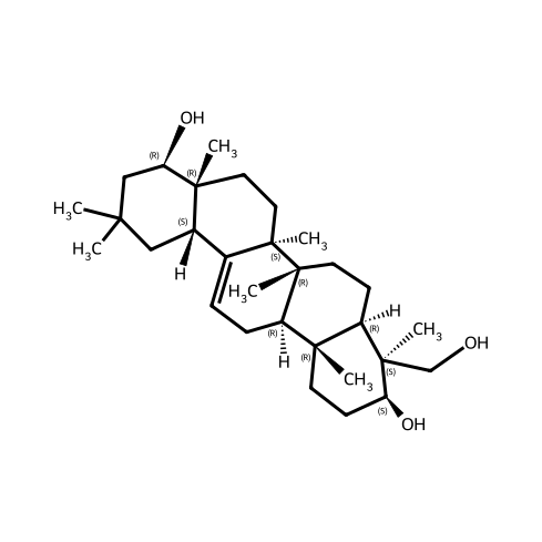 CC1(C)C[C@@H](O)[C@]2(C)CC[C@]3(C)C(=CC[C@@H]4[C@@]5(C)CC[C@H](O)[C@](C)(CO)[C@@H]5CC[C@]43C)[C@@H]2C1